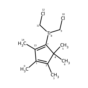 CC1=C(C)C(C)(C)[C]([Ti]([CH2]Cl)[CH2]Cl)=C1C